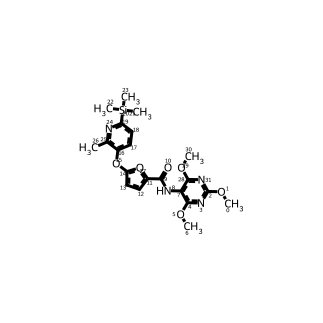 COc1nc(OC)c(NC(=O)c2ccc(Oc3ccc([Si](C)(C)C)nc3C)o2)c(OC)n1